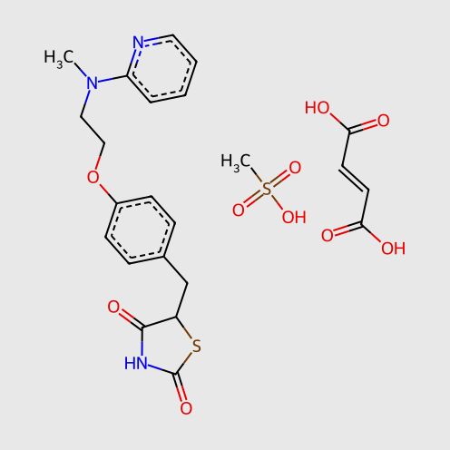 CN(CCOc1ccc(CC2SC(=O)NC2=O)cc1)c1ccccn1.CS(=O)(=O)O.O=C(O)C=CC(=O)O